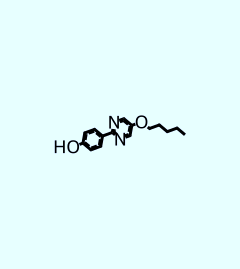 CCCCCOc1cnc(-c2ccc(O)cc2)nc1